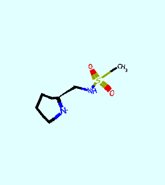 CS(=O)(=O)NC[C@@H]1CCC[N]1